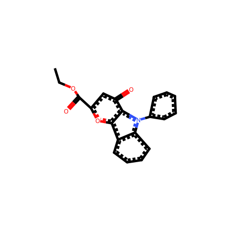 CCOC(=O)c1cc(=O)c2c(o1)c1ccccc1n2-c1ccccc1